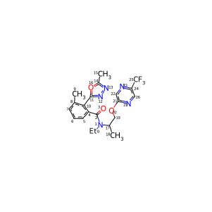 CCN(C(=O)c1cccc(C)c1-c1nnc(C)o1)C(C)COc1cnc(C(F)(F)F)cn1